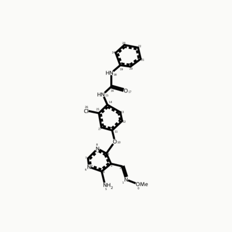 CON=Cc1c(N)ncnc1Oc1ccc(NC(=O)Nc2ccccc2)c(Cl)c1